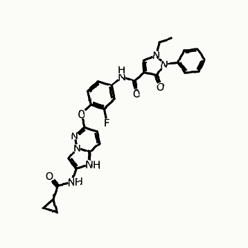 CCn1cc(C(=O)Nc2ccc(OC3=NN4C=C(NC(=O)C5CC5)NC4C=C3)c(F)c2)c(=O)n1-c1ccccc1